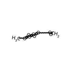 C=CC(=O)OCCCCCCCCCCCOC1CCC(C(=O)Oc2ccc(OC(=O)c3ccc(OCCCCCC)cc3)cc2)CC1